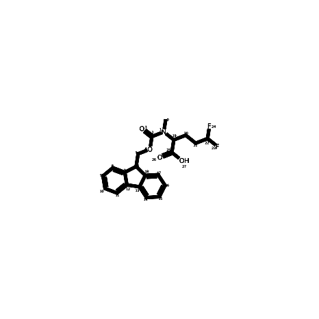 CN(C(=O)OCC1c2ccccc2-c2ccccc21)C(CCC(F)F)C(=O)O